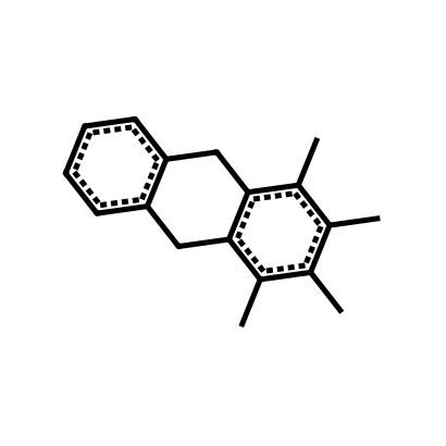 Cc1c(C)c(C)c2c(c1C)Cc1ccccc1C2